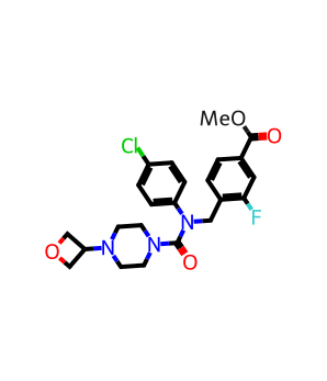 COC(=O)c1ccc(CN(C(=O)N2CCN(C3COC3)CC2)c2ccc(Cl)cc2)c(F)c1